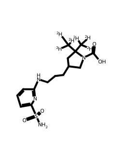 [2H]C([2H])([2H])C1(C([2H])([2H])[2H])CC(CCCNc2cccc(S(N)(=O)=O)n2)CN1C(=O)O